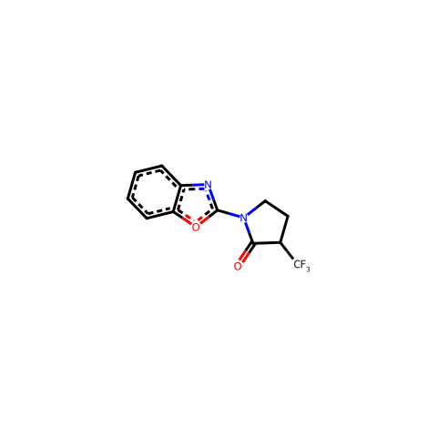 O=C1C(C(F)(F)F)CCN1c1nc2ccccc2o1